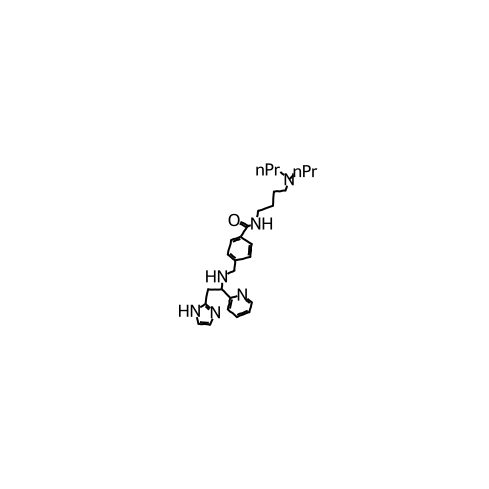 CCCN(CCC)CCCCNC(=O)c1ccc(CNC(Cc2ncc[nH]2)c2ccccn2)cc1